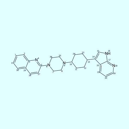 c1ccc2nc(N3CCN(C4CCC(c5c[nH]c6ncccc56)CC4)CC3)ccc2c1